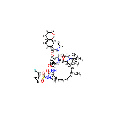 C[C@H]1CC/C=C\[C@@H]2C[C@@]2(C(=O)NS(=O)(=O)C2(CF)CC2)NC(=O)[C@@H]2C[C@@H](Oc3nccc4c5c(ccc34)CCCO5)CN2C(=O)[C@@H](N(C(=O)O)C(C)(C)C(F)(F)F)[C@H](C)C1